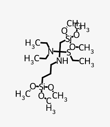 CCSC(C[Si](OC)(OC)OC)(NCCC[Si](OC)(OC)OC)N(CC)CC